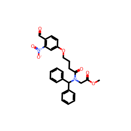 COC(=O)CN(C(=O)CCCOc1ccc(C=O)c([N+](=O)[O-])c1)C(c1ccccc1)c1ccccc1